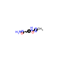 Cc1cnc(C(=O)Nc2ccc(CC[C@@H]3COC(N)=N3)cc2)cn1